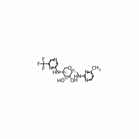 Cc1ccnc(NC[C@H]2OC[C@H](Nc3cncc(C(F)(F)F)n3)[C@@H](O)[C@H]2O)n1